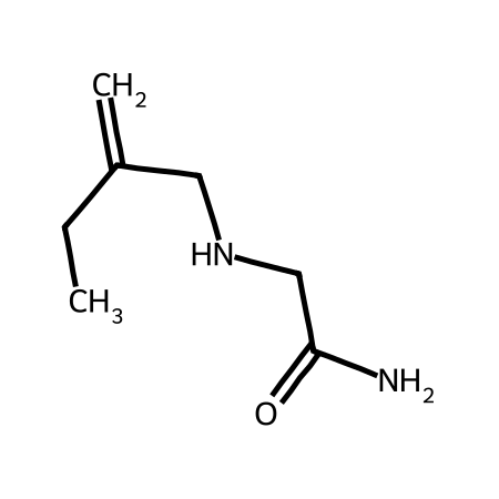 C=C(CC)CNCC(N)=O